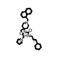 O=CC1(N(CCn2cccc2)C(=O)NC/C=C/c2ccccc2)CCN(Cc2cccc3ccccc23)CC1